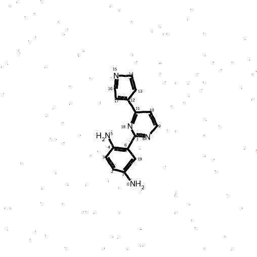 Nc1ccc(N)c(-c2nccc(-c3ccncc3)n2)c1